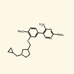 CNc1ncc(-c2ccc(OC)c(OCC3CCN(CC4CC4)C3)c2)c(N)n1